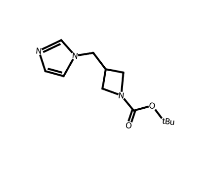 CC(C)(C)OC(=O)N1CC(Cn2ccnc2)C1